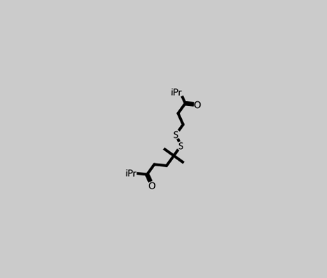 CC(C)C(=O)CCSSC(C)(C)CCC(=O)C(C)C